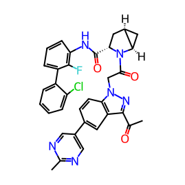 CC(=O)c1nn(CC(=O)N2[C@@H]3C[C@@H]3C[C@H]2C(=O)Nc2cccc(-c3ccccc3Cl)c2F)c2ccc(-c3cnc(C)nc3)cc12